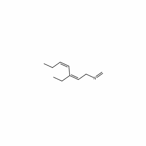 C=NC/C=C(\C=C/CC)CC